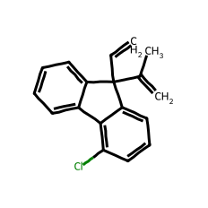 C=CC1(C(=C)C)c2ccccc2-c2c(Cl)cccc21